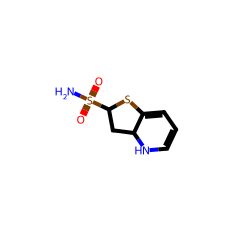 NS(=O)(=O)C1CC2NC=CC=C2S1